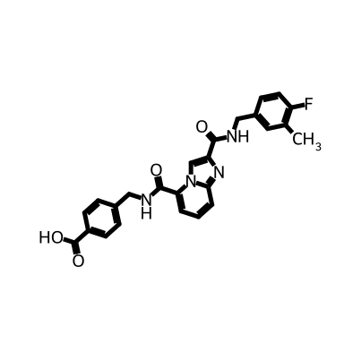 Cc1cc(CNC(=O)c2cn3c(C(=O)NCc4ccc(C(=O)O)cc4)cccc3n2)ccc1F